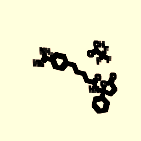 N=C(N)c1ccc(CCCCC(=O)NC2(c3ccccc3)CCC(=O)O2)cc1.O=C(O)C(F)(F)F